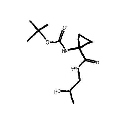 CC(O)CNC(=O)C1(NC(=O)OC(C)(C)C)CC1